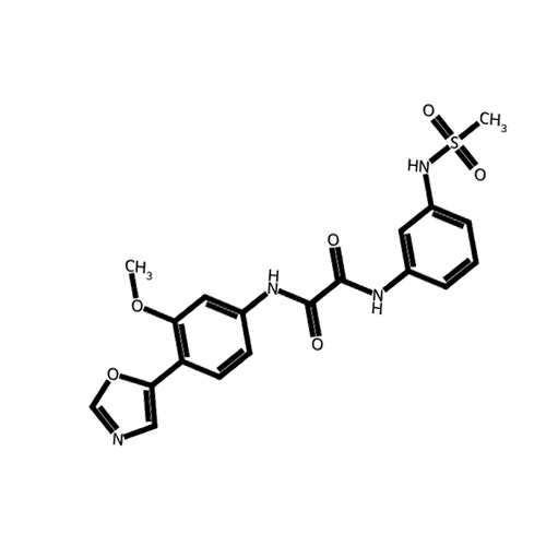 COc1cc(NC(=O)C(=O)Nc2cccc(NS(C)(=O)=O)c2)ccc1-c1cnco1